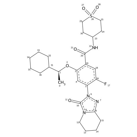 C[C@H](Oc1cc(-n2nc3n(c2=O)CCCC3)c(F)cc1C(=O)NC1CCS(=O)(=O)CC1)C1CCCCC1